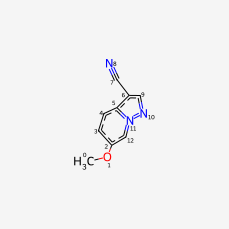 COc1ccc2c(C#N)cnn2c1